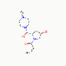 C=CC(=O)N1CC(=O)C[C@H]1C(=O)N1CCN(C(C)=O)CC1